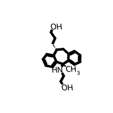 C[C@]1(NCCO)c2ccccc2C[C@@H](CCCO)c2ccccc21